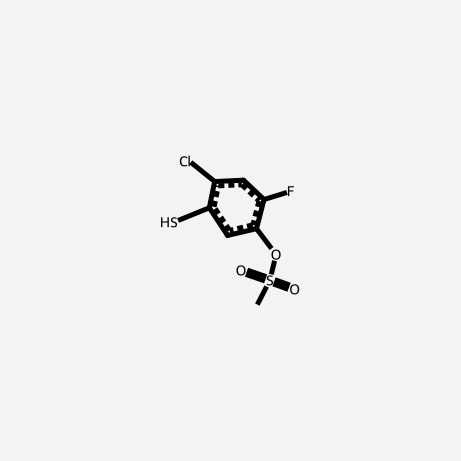 CS(=O)(=O)Oc1cc(S)c(Cl)cc1F